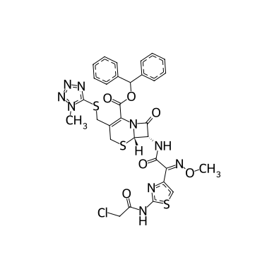 CON=C(C(=O)N[C@H]1C(=O)N2C(C(=O)OC(c3ccccc3)c3ccccc3)=C(CSc3nnnn3C)CS[C@@H]12)c1csc(NC(=O)CCl)n1